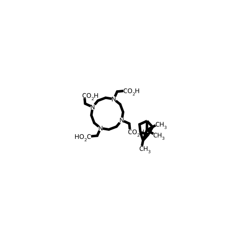 CC1(C)C2CC3C(C2)C31C.O=C(O)CN1CCN(CC(=O)O)CCN(CC(=O)O)CCN(CC(=O)O)CC1